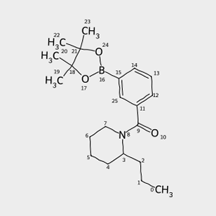 CCCC1CCCCN1C(=O)c1cccc(B2OC(C)(C)C(C)(C)O2)c1